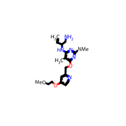 C=CC(CN)Nc1nc(NC)nc(OCc2cc(OCCOC)ccn2)c1C